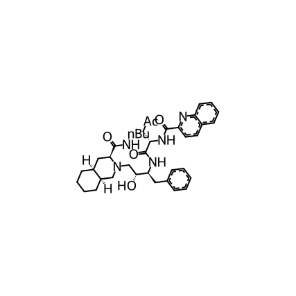 CCCCNC(=O)[C@@H]1C[C@@H]2CCCC[C@@H]2CN1C[C@@H](O)[C@H](Cc1ccccc1)NC(=O)[C@H](CC(C)=O)NC(=O)c1ccc2ccccc2n1